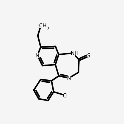 CCc1cc2c(cn1)C(c1ccccc1Cl)=NCC(=S)N2